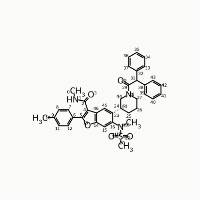 CNC(=O)c1c(-c2ccc(C)cc2)oc2cc(N(C)S(C)(=O)=O)c([C@H]3CCCN(C(=O)C(c4ccccc4)c4ccccc4)C3)cc12